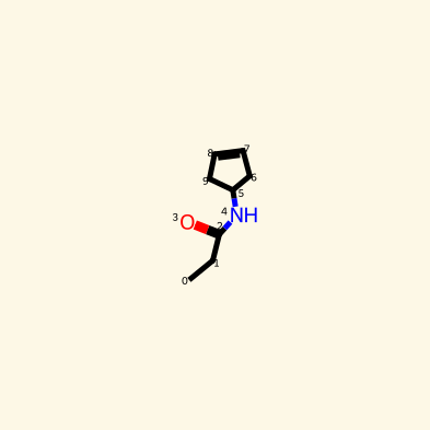 CCC(=O)NC1CC=CC1